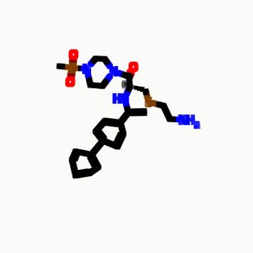 C=C(N[C@@H](CSCCN)C(=O)N1CCN(S(C)(=O)=O)CC1)c1ccc(-c2ccccc2)cc1